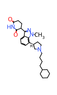 Cn1nc(C2CCC(=O)NC2=O)c2cccc([C@H]3CCN(CCCCC4CCCCC4)C3)c21